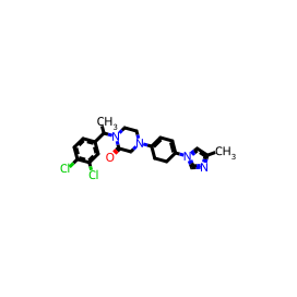 Cc1cn(C2=CC=C(N3CCN(C(C)c4ccc(Cl)c(Cl)c4)C(=O)C3)CC2)cn1